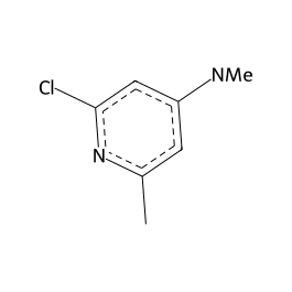 CNc1cc(C)nc(Cl)c1